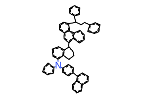 c1ccc(CCC(c2ccccc2)c2cccc3cc(C4CCCc5c4cccc5N(c4ccccc4)c4ccc(-c5cccc6ccccc56)cc4)c4ccccc4c23)cc1